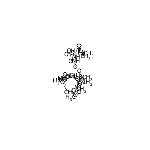 CNN(C)Cc1cc2ccccc2n1CCC(=O)N[C@@H](CCC(=O)O)C(=O)NCCOCCOCCSN(C)[C@@H](C)C(=O)O[C@H]1CC(=O)N(C)c2cc(cc(OC)c2Cl)C/C(C)=C/C=C/[C@@H](OC)[C@@]2(O)C[C@H](OC(=O)N2)[C@@H](C)[C@@H]2O[C@]12C